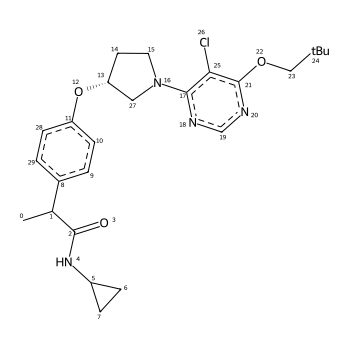 CC(C(=O)NC1CC1)c1ccc(O[C@@H]2CCN(c3ncnc(OCC(C)(C)C)c3Cl)C2)cc1